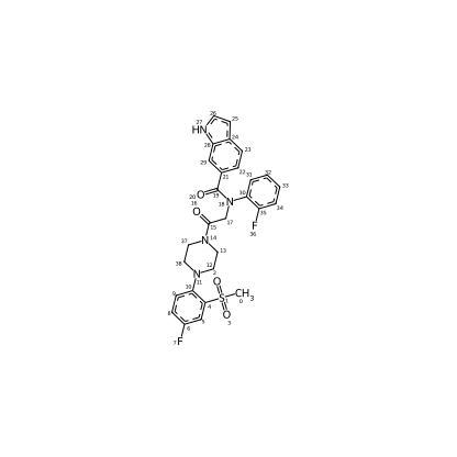 CS(=O)(=O)c1cc(F)ccc1N1CCN(C(=O)CN(C(=O)c2ccc3cc[nH]c3c2)c2ccccc2F)CC1